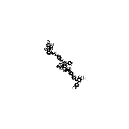 CC1(C)CCC(c2ccc(Cl)cc2)=C(CN2CCN(c3ccc(C(=O)NS(=O)(=O)c4ccc(N[C@H](CCN5CCN(CCCCNc6cccc7c6C(=O)N(C6CCC(=O)NC6=O)C7=O)CC5)CSc5ccccc5)c(S(=O)(=O)C(F)(F)F)c4)cc3)CC2)C1